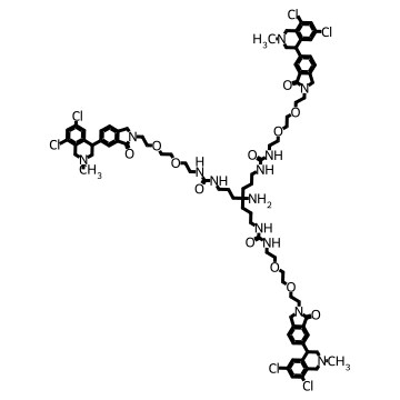 CN1Cc2c(Cl)cc(Cl)cc2C(c2ccc3c(c2)C(=O)N(CCOCCOCCNC(=O)NCCCC(N)(CCCNC(=O)NCCOCCOCCN2Cc4ccc(C5CN(C)Cc6c(Cl)cc(Cl)cc65)cc4C2=O)CCCNC(=O)NCCOCCOCCN2Cc4ccc(C5CN(C)Cc6c(Cl)cc(Cl)cc65)cc4C2=O)C3)C1